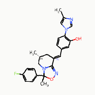 Cc1cn(-c2ccc(/C=C3\C[C@@H](C)CN4C3=NOC4(C)c3ccc(F)cc3)cc2O)cn1